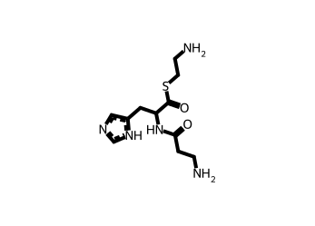 NCCSC(=O)C(Cc1cnc[nH]1)NC(=O)CCN